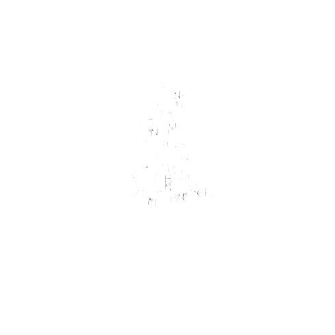 CC(c1ccncc1)N(C)C(=O)c1ccc(/C(=C/C(=N)C(F)(F)F)Nc2ccccc2Cl)cc1